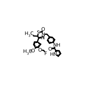 CCC1SC(=O)N(Cc2ccc(NC(=O)c3ccc[nH]3)cc2)N=C1c1ccc(OC)c(OCF)c1